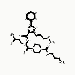 CCCCOC(=O)N1CCN(C(=O)[C@H](CCC(=O)O)NC(=O)c2nc(-c3ccccc3)sc2C=CCOC)CC1